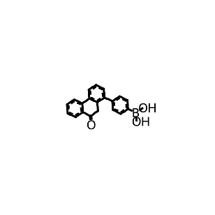 O=C1Cc2c(-c3ccc(B(O)O)cc3)cccc2-c2ccccc21